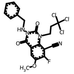 COc1cc2c(=O)n(NCc3ccccc3)c(=O)n(CCC(Cl)(Cl)Cl)c2c(C#N)c1F